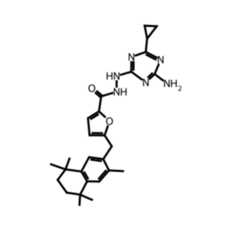 Cc1cc2c(cc1Cc1ccc(C(=O)NNc3nc(N)nc(C4CC4)n3)o1)C(C)(C)CCC2(C)C